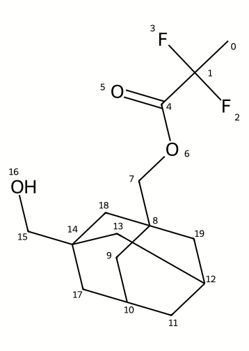 CC(F)(F)C(=O)OCC12CC3CC(CC(CO)(C3)C1)C2